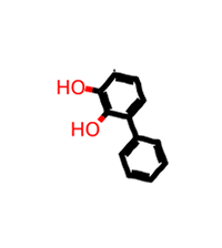 Oc1[c]ccc(-c2ccccc2)c1O